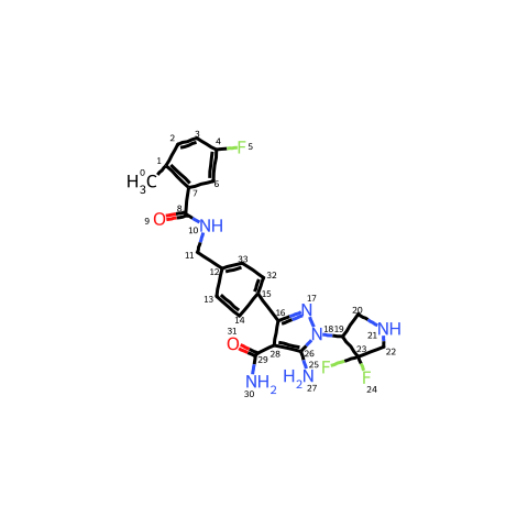 Cc1ccc(F)cc1C(=O)NCc1ccc(-c2nn(C3CNCC3(F)F)c(N)c2C(N)=O)cc1